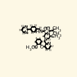 COc1ccccc1Oc1cccnc1CN1C[C@@H](C)N(C(=O)C(C)C)[C@@H](C(=O)NCc2ccc(-c3ncccn3)cc2)C1